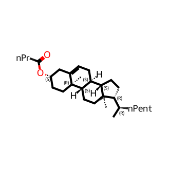 CCCCC[C@@H](C)[C@H]1CC[C@H]2[C@@H]3CC=C4C[C@@H](OC(=O)CCC)CC[C@]4(C)[C@H]3CC[C@]12C